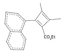 CCOC(=O)C1=C(c2cccc3ccccc23)C(C)=C1C